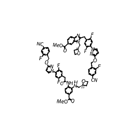 COC(=O)c1ccc(NC(=O)Cc2cc(F)c(-n3ccc(OCc4ccc(C#N)cc4F)n3)cc2F)c(NC[C@@H]2CCO2)c1.COC(=O)c1ccc2nc(Cc3cc(F)c(-n4ccc(OCc5ccc(C#N)cc5F)n4)cc3F)n(C[C@@H]3CCO3)c2c1